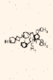 COc1ccc(CN2CCN(C3CC4(CCNCC4)C3)[C@H](c3ccccc3C(C)C)C2)c(OC)c1